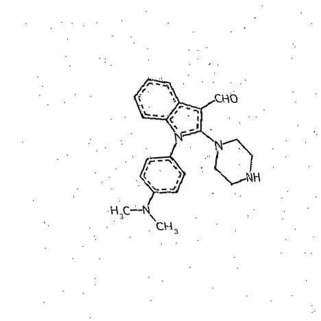 CN(C)c1ccc(-n2c(N3CCNCC3)c(C=O)c3ccccc32)cc1